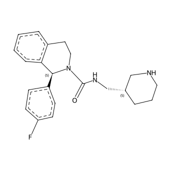 O=C(NC[C@H]1CCCNC1)N1CCc2ccccc2[C@@H]1c1ccc(F)cc1